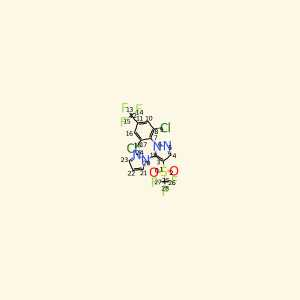 O=S(=O)(c1cnn(-c2c(Cl)cc(C(F)(F)F)cc2Cl)c1-n1cccn1)C(F)(F)F